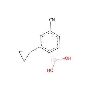 N#Cc1cccc(C2CC2)c1.OBO